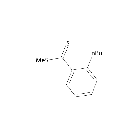 CCCCc1ccccc1C(=S)SC